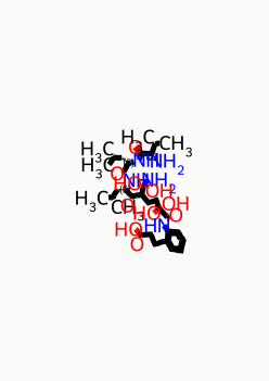 CC(C)C[C@H](NC(=O)[C@@H](N)C(C)C)C(=O)N[C@@H](CC(C)C)C(=O)C(CCC(O)(O)C(=O)Nc1ccccc1CCC(=O)O)C(N)(O)O